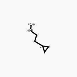 ONCCC1CC1